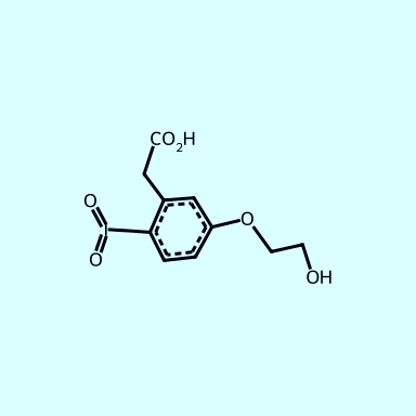 O=C(O)Cc1cc(OCCO)ccc1I(=O)=O